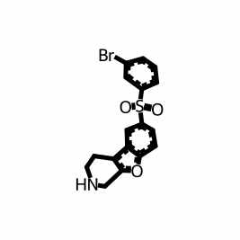 O=S(=O)(c1cccc(Br)c1)c1ccc2oc3c(c2c1)CCNC3